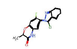 CC1Oc2cc(F)c(-n3nc4c(c3Cl)CCCC4)cc2NC1=O